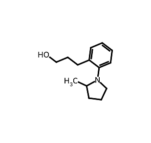 CC1CCCN1c1ccccc1CCCO